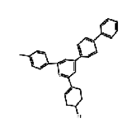 CCC1CC=C(c2cc(-c3ccc(-c4ccccc4)cc3)cc(-c3ccc(C)cc3)n2)CC1